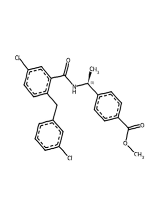 COC(=O)c1ccc([C@H](C)NC(=O)c2cc(Cl)ccc2Cc2cccc(Cl)c2)cc1